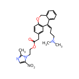 Cc1ncc([N+](=O)[O-])n1CCOC(=O)Cc1ccc2c(c1)/C(=C\CCN(C)C)c1ccccc1CO2